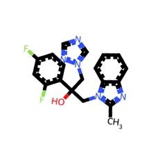 Cc1nc2ccccc2n1CC(O)(Cn1cncn1)c1ccc(F)cc1F